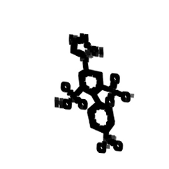 O=[N+]([O-])c1ccc(-c2c(S(=O)(=O)[O-])cc(-[n+]3cnn[nH]3)cc2S(=O)(=O)O)cc1